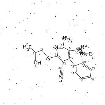 CC(O)CSc1nc(N)c(C#N)c(-c2ccccc2[N+](=O)[O-])c1C#N